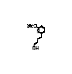 COc1cccc(CCCCO)n1